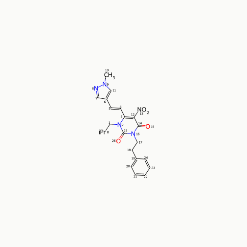 CC(C)Cn1c(/C=C/c2cnn(C)c2)c([N+](=O)[O-])c(=O)n(CCc2ccccc2)c1=O